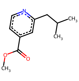 COC(=O)c1ccnc(CC(C)C)c1